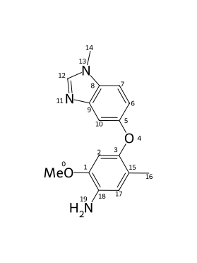 COc1cc(Oc2ccc3c(c2)ncn3C)c(C)cc1N